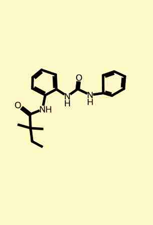 CCC(C)(C)C(=O)Nc1ccccc1NC(=O)Nc1ccccc1